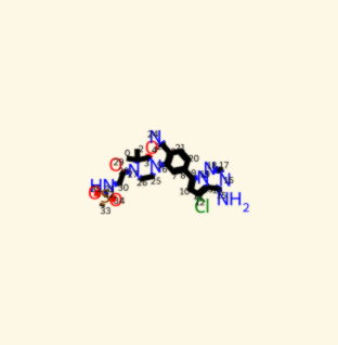 CC1(C)C(=O)N(c2cc(-c3cc(Cl)c4c(N)ncnn34)ccc2C#N)CCN1C(=O)CNS(C)(=O)=O